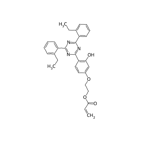 C=CC(=O)OCCOc1ccc(-c2nc(-c3ccccc3CC)nc(-c3ccccc3CC)n2)c(O)c1